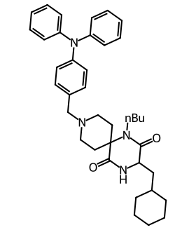 CCCCN1C(=O)C(CC2CCCCC2)NC(=O)C12CCN(Cc1ccc(N(c3ccccc3)c3ccccc3)cc1)CC2